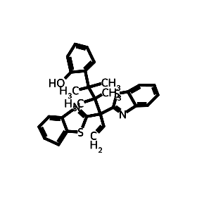 C=CC(c1nc2ccccc2s1)(c1nc2ccccc2s1)C(C)(C)C(C)(C)c1ccccc1O